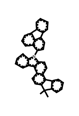 CC1(C)c2ccccc2-c2c1ccc1c2ccc2c1c1ccccc1n2-c1ccc2c3c(cccc13)-c1ccccc1-2